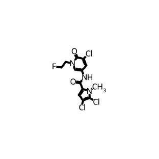 Cn1c(C(=O)Nc2cc(Cl)c(=O)n(CCF)c2)cc(Cl)c1Cl